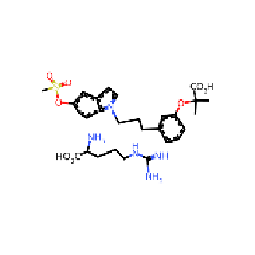 CC(C)(Oc1cccc(CCCn2ccc3cc(OS(C)(=O)=O)ccc32)c1)C(=O)O.N=C(N)NCCCC(N)C(=O)O